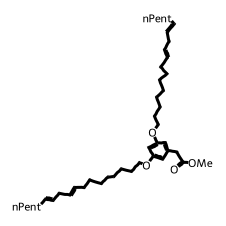 CCCCCC=CCC=CCCCCCCCCOc1cc(CC(=O)OC)cc(OCCCCCCCCC=CCC=CCCCCC)c1